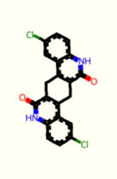 O=c1[nH]c2ccc(Cl)cc2c2c1Cc1c(c(=O)[nH]c3ccc(Cl)cc13)C2